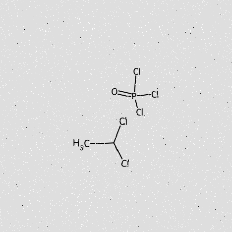 CC(Cl)Cl.O=P(Cl)(Cl)Cl